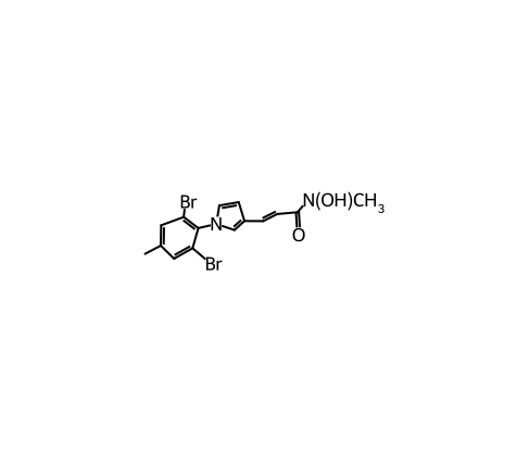 Cc1cc(Br)c(-n2ccc(/C=C/C(=O)N(C)O)c2)c(Br)c1